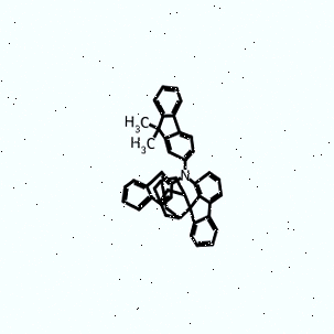 CC1(C)c2ccccc2-c2ccc(N(c3ccc4ccccc4c3)c3cccc4c3C3(c5ccccc5-4)C4CC5CC(C4)CC3C5)cc21